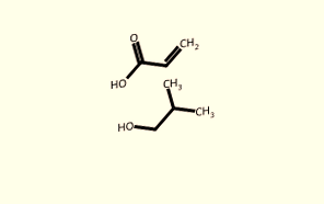 C=CC(=O)O.CC(C)CO